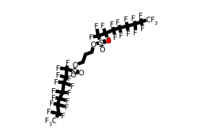 O=S(=O)(OCCCOS(=O)(=O)C(F)(F)C(F)(F)C(F)(F)C(F)(F)C(F)(F)C(F)(F)C(F)(F)C(F)(F)F)C(F)(F)C(F)(F)C(F)(F)C(F)(F)C(F)(F)C(F)(F)C(F)(F)C(F)(F)F